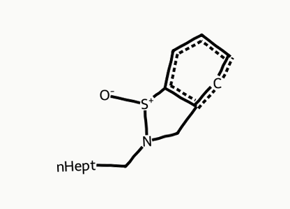 CCCCCCCCN1Cc2ccccc2[S+]1[O-]